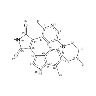 Cc1ncc(N2CCN(C)CC2)cc1C1=C(c2c[nH]c3c(C)cccc23)C(=O)NC1=O